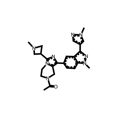 CC(=O)N1CCn2c(C3CN(C)C3)nc(-c3ccc4c(c3)c(-c3cnn(C)c3)nn4C)c2C1